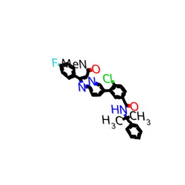 CNC(=O)c1c(-c2ccc(F)cc2)nc2ccc(-c3cc(C(=O)NC(C)(C)c4ccccc4)ccc3Cl)cn12